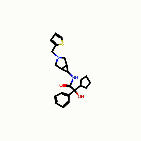 O=C(NC1C2CN(Cc3cccs3)CC21)C(O)(c1ccccc1)C1CCCC1